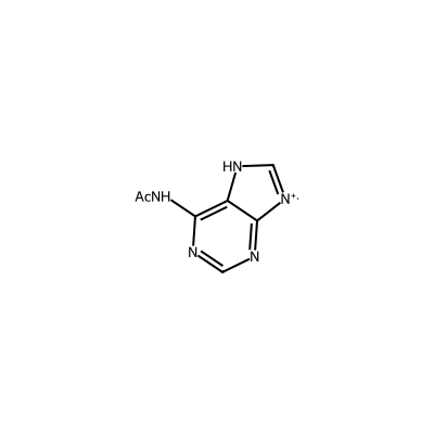 CC(=O)Nc1ncnc2c1NC=[N+]2